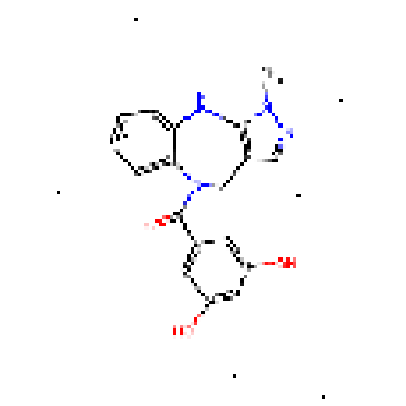 Cn1ncc2c1Nc1ccccc1N(C(=O)c1cc(O)cc(O)c1)C2